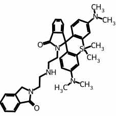 CN(C)c1ccc2c(c1)[Si](C)(C)c1cc(N(C)C)ccc1C21c2ccccc2C(=O)N1CCNCCN1Cc2ccccc2C1=O